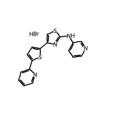 Br.c1ccc(-c2ccc(-c3csc(Nc4cccnc4)n3)s2)nc1